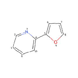 [c]1ccnc(-c2ccco2)c1